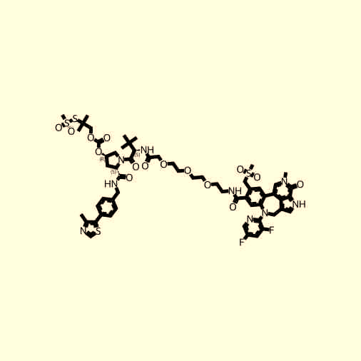 Cc1ncsc1-c1ccc(CNC(=O)[C@@H]2C[C@@H](OC(=O)OCC(C)(C)SS(C)(=O)=O)CN2C(=O)[C@@H](NC(=O)COCCOCCOCCNC(=O)c2cc3c(cc2CS(C)(=O)=O)-c2cn(C)c(=O)c4[nH]cc(c24)CN3c2ncc(F)cc2F)C(C)(C)C)cc1